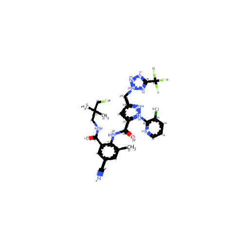 Cc1cc(C#N)cc(C(=O)NCC(C)(C)CF)c1NC(=O)c1cc(Cn2nnc(C(F)(F)F)n2)nn1-c1ncccc1Cl